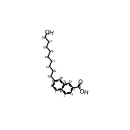 O=C(O)c1ccc2ccc(CCCCCCCCCO)cc2c1